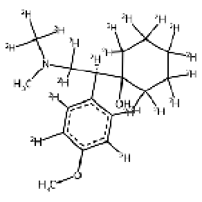 [2H]c1c([2H])c([C@@]([2H])(C([2H])([2H])N(C)C([2H])([2H])[2H])C2(O)C([2H])([2H])C([2H])([2H])C([2H])([2H])C([2H])([2H])C2([2H])[2H])c([2H])c([2H])c1OC